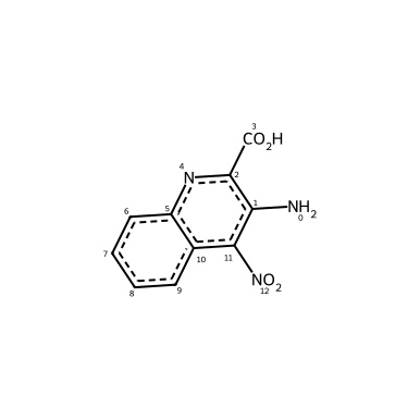 Nc1c(C(=O)O)nc2ccccc2c1[N+](=O)[O-]